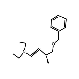 CCN(/C=C/[C@H](C)COCc1ccccc1)CC